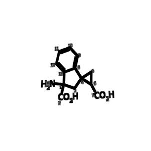 NC1(C(=O)O)CC2(CC2C(=O)O)c2ccccc21